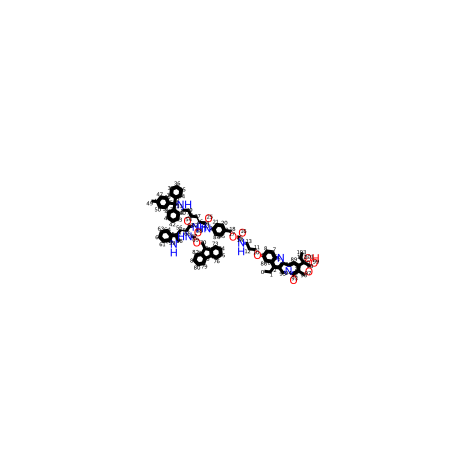 CCc1c2c(nc3ccc(OCCCNC(=O)OCc4ccc(NC(=O)[C@H](CCCCNC(c5ccccc5)(c5ccccc5)c5ccc(C)cc5)NC(=O)[C@H](Cc5c[nH]c6ccccc56)NC(=O)OCC5c6ccccc6-c6ccccc65)cc4)cc13)-c1cc3c(c(=O)n1C2)COC(=O)[C@]3(O)CC